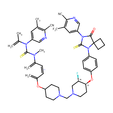 C=C(/C=C\C(=C)N(C)C(=S)N(C(=C)C)c1cnc(C#N)c(C(F)(F)F)c1)OC1CCN(CN2CC[C@H](Oc3ccc(N4C(=S)N(c5cnc(C#N)c(C(F)(F)F)c5)C(=O)C45CCC5)cc3)[C@H](F)C2)CC1